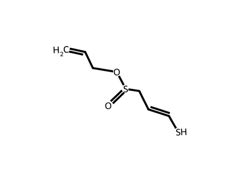 C=CCOS(=O)CC=CS